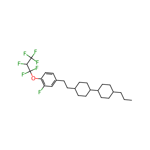 CCCC1CCC(C2CCC(CCc3ccc(OC(F)(F)C(F)C(F)(F)F)c(F)c3)CC2)CC1